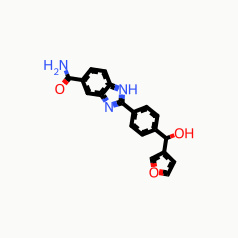 NC(=O)c1ccc2[nH]c(-c3ccc(C(O)c4ccoc4)cc3)nc2c1